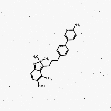 COc1ccc2c(c1C)=C(CCCc1ccc(-c3cnc(N)nc3)cc1)[N+](C)(C)N=2